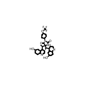 CC(c1ccnc2ccc(O)cc12)C1(C(C)c2ccnc3ccc(O)cc23)NC(=O)N(c2ccc(OC(F)(F)F)cc2)C1=O